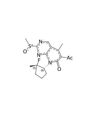 CC(=O)c1c(C)c2cnc([S+](C)[O-])nc2n([C@@H]2CCC[C@]2(C)F)c1=O